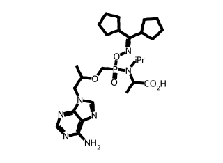 CC(Cn1cnc2c(N)ncnc21)OCP(=O)(ON=C(C1CCCC1)C1CCCC1)N(C(C)C)C(C)C(=O)O